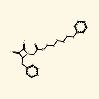 O=C(CN1C(=O)C(=S)C1Cc1ccccc1)NCCCCCCc1ccccc1